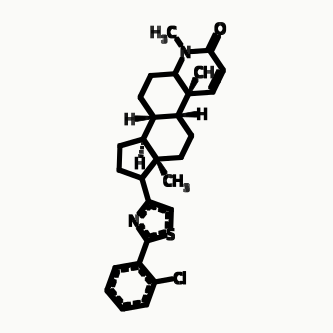 CN1C(=O)C=C[C@@]2(C)C1CC[C@@H]1[C@H]2CC[C@]2(C)C(c3csc(-c4ccccc4Cl)n3)CC[C@@H]12